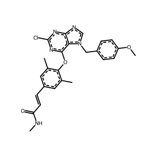 CNC(=O)/C=C/c1cc(C)c(Oc2nc(Cl)nc3ncn(Cc4ccc(OC)cc4)c23)c(C)c1